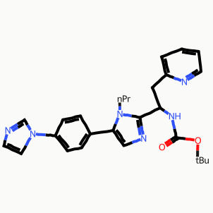 CCCn1c(-c2ccc(-n3ccnc3)cc2)cnc1C(Cc1ccccn1)NC(=O)OC(C)(C)C